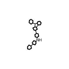 c1ccc(-c2ccc(Nc3ccc(-c4ccc5c(c4)-c4ccccc4C5c4ccccc4)cc3)cc2)cc1